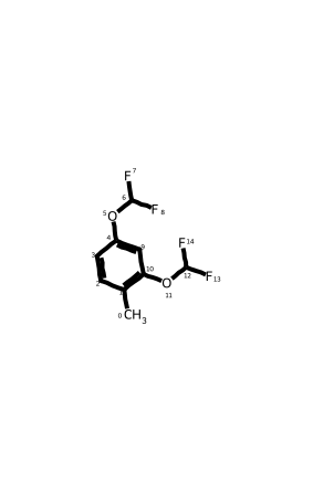 Cc1ccc(OC(F)F)cc1OC(F)F